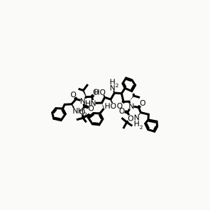 CC(C)[C@@H](C(=O)N[C@@H](Cc1ccccc1)[C@@H](O)[C@H](O)[C@@H](N)C(C(=O)[C@H](C(C)C)N(C(=O)OC(C)(C)C)C(=O)[C@@H](N)Cc1ccccc1)c1ccccc1)N(C(=O)OC(C)(C)C)C(=O)[C@@H](N)Cc1ccccc1